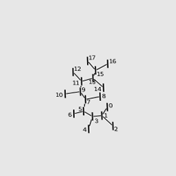 II(I)I(I)I(I)I(I)I(I)I(I)I(I)I(I)I